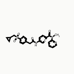 CN(C(=O)c1ccc(NC(=O)Cc2ccc(S(=O)(=O)CC3CC3)cc2)cc1)c1ccccn1